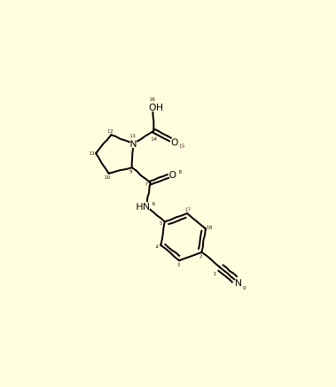 N#Cc1ccc(NC(=O)C2CCCN2C(=O)O)cc1